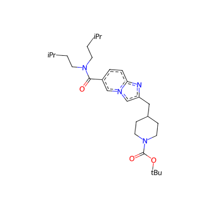 CC(C)CCN(CCC(C)C)C(=O)c1ccc2nc(CC3CCN(C(=O)OC(C)(C)C)CC3)cn2c1